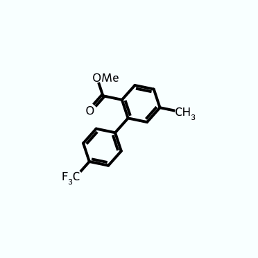 COC(=O)c1ccc(C)cc1-c1ccc(C(F)(F)F)cc1